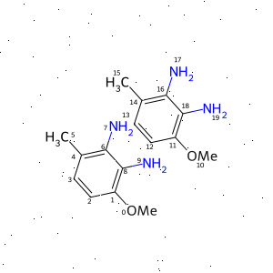 COc1ccc(C)c(N)c1N.COc1ccc(C)c(N)c1N